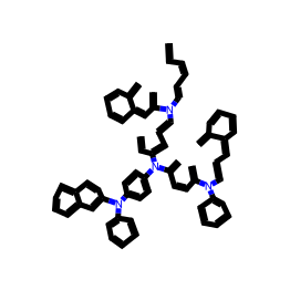 C=C/C=C\C=C\N(/C=C/C=C(\C=C)N(C(=C)/C=C\C(=C)N(/C=C/C=c1/ccccc1=C)c1ccccc1)c1ccc(N(c2ccccc2)c2ccc3ccccc3c2)cc1)C(=C)/C=c1/ccccc1=C